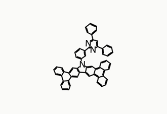 c1ccc(-c2cc(-c3ccccc3)nc(-c3cccc(-n4c5cc6c7ccccc7c7ccccc7c6cc5c5cc6c7ccccc7c7ccccc7c6cc54)c3)n2)cc1